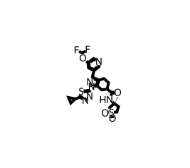 C[C@]1(NC(=O)C2CCc3c(-c4cncc(OC(F)F)c4)nn(-c4nnc(C5CC5)s4)c3C2)CCS(=O)(=O)C1